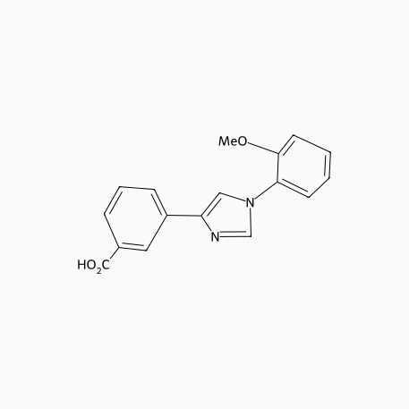 COc1ccccc1-n1cnc(-c2cccc(C(=O)O)c2)c1